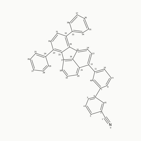 N#Cc1cccc(-c2cccc(-c3ccc4c5c(cccc35)-c3c(-c5ccccc5)ccc(-c5ccccc5)c3-4)c2)c1